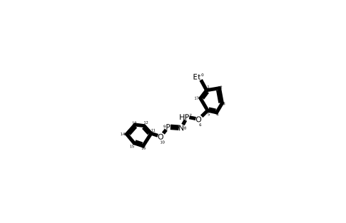 CCc1cccc(OPN=POc2ccccc2)c1